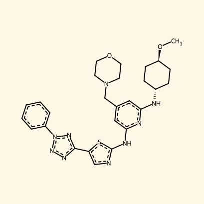 CO[C@H]1CC[C@H](Nc2cc(CN3CCOCC3)cc(Nc3ncc(-c4nnn(-c5ccccc5)n4)s3)n2)CC1